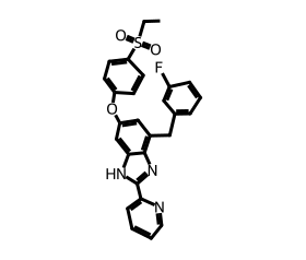 CCS(=O)(=O)c1ccc(Oc2cc(Cc3cccc(F)c3)c3nc(-c4ccccn4)[nH]c3c2)cc1